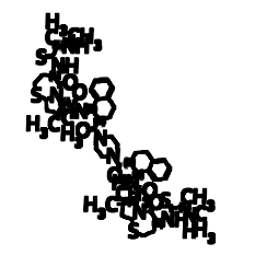 CN[C@@H](C)C(=S)N[C@H]1CCSC2CC(C)(C)[C@@H](C(=O)N[C@@H]3c4ccccc4CC[C@H]3C(=O)N3CCN(C(=O)[C@@H]4CCc5ccccc5[C@H]4NC(=O)[C@H]4N5C(=O)[C@@H](NC(=S)[C@H](C)NC)CCSC5CC4(C)C)CC3)N2C1=O